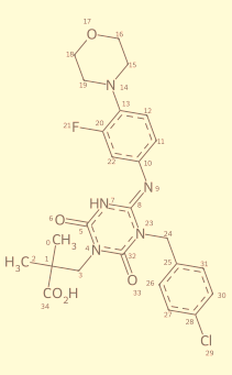 CC(C)(Cn1c(=O)[nH]/c(=N\c2ccc(N3CCOCC3)c(F)c2)n(Cc2ccc(Cl)cc2)c1=O)C(=O)O